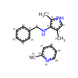 Cc1c[nH]c(C)c1NCc1ccccc1.N#Cc1ccccn1